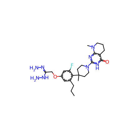 CCCc1cc(OC/C(=N/N)NN)cc(F)c1C1(C)CCN(c2nc3c(c(=O)[nH]2)CCCN3C)CC1